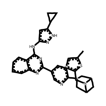 Cc1cnc(CN2C3CC2CN(c2ccc(-c4nc(Nc5cc(C6CC6)[nH]n5)c5ccccc5n4)cn2)C3)s1